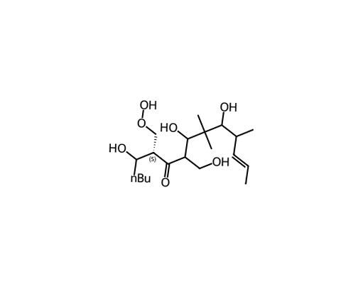 CC=CC(C)C(O)C(C)(C)C(O)C(CO)C(=O)[C@@H](COO)C(O)CCCC